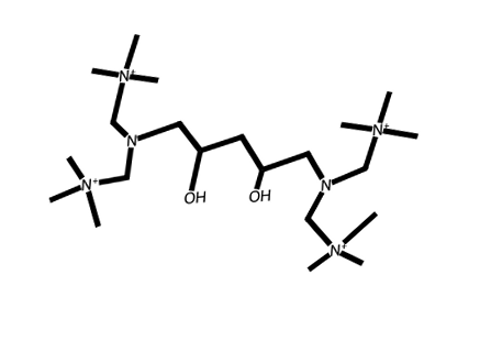 C[N+](C)(C)CN(CC(O)CC(O)CN(C[N+](C)(C)C)C[N+](C)(C)C)C[N+](C)(C)C